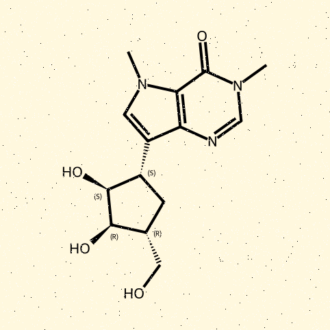 Cn1cnc2c([C@@H]3C[C@H](CO)[C@@H](O)[C@H]3O)cn(C)c2c1=O